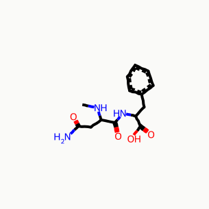 CNC(CC(N)=O)C(=O)NC(Cc1ccccc1)C(=O)O